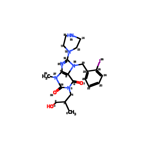 CC(CO)Cn1c(=O)c2c(nc(N3CCNCC3)n2Cc2ccccc2I)n(C)c1=O